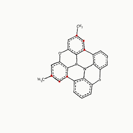 CCCCc1cccc2c1N(B1c3ccccc3Oc3ccccc31)c1c(CCCC)cccc1S2